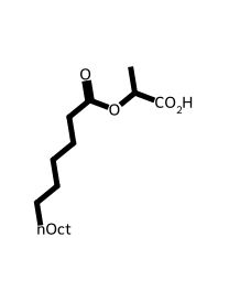 CCCCCCCCCCCCCC(=O)OC(C)C(=O)O